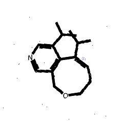 CC(C)/C1=C/CCOCc2cncc(C(C)C)c21